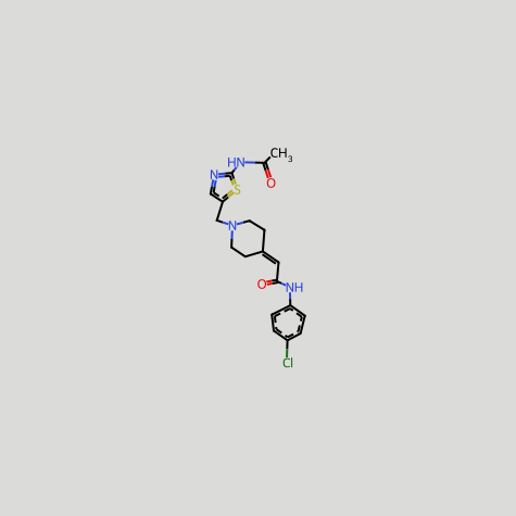 CC(=O)Nc1ncc(CN2CCC(=CC(=O)Nc3ccc(Cl)cc3)CC2)s1